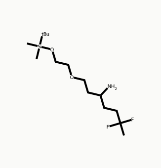 CC(F)(F)CCC(N)CCOCCO[Si](C)(C)C(C)(C)C